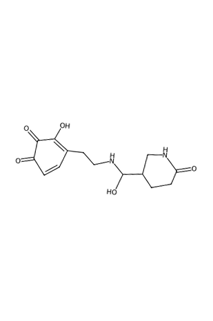 O=C1CCC(C(O)NCCC2=C(O)C(=O)C(=O)C=C2)CN1